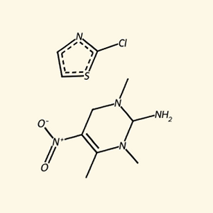 CC1=C([N+](=O)[O-])CN(C)C(N)N1C.Clc1nccs1